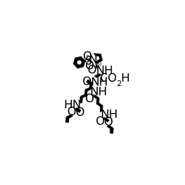 C=CCOC(=O)NCCCCC(=O)NC(CCCCNC(=O)OCC=C)C(=O)NCC(NC(=O)[C@@H]1CCCN1S(=O)(=O)c1ccccc1)C(=O)O